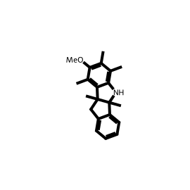 COc1c(C)c(C)c2c(c1C)C1(C)Cc3ccccc3C1(C)N2